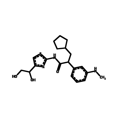 CNc1cccc(C(CC2CCCC2)C(=O)Nc2nc(C(O)CO)cs2)c1